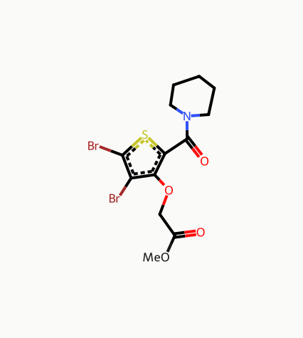 COC(=O)COc1c(C(=O)N2CCCCC2)sc(Br)c1Br